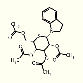 CC(=O)OC[C@@H]1S[C@H](N2CCc3ccccc32)[C@H](OC(C)=O)[C@@H](OC(C)=O)[C@@H]1OC(C)=O